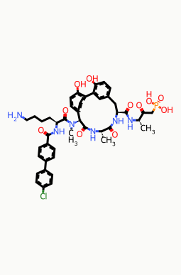 C[C@H](NC(=O)[C@@H]1Cc2ccc(O)c(c2)-c2cc(ccc2O)[C@H](N(C)C(=O)[C@H](CCCCN)NC(=O)c2ccc(-c3ccc(Cl)cc3)cc2)C(=O)N[C@@H](C)C(=O)N1)C(=O)CP(=O)(O)O